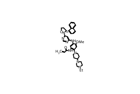 C=CC(=O)Nc1cc(Nc2cc(N3OCC[C@@H]3c3cccc4ccccc34)ncn2)c(OC)cc1N1CCC(N2CCN(CC)CC2)CC1